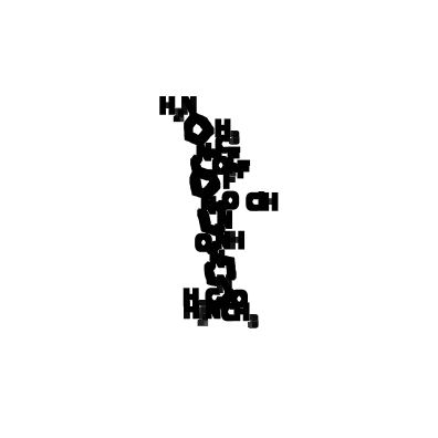 CCN(Cc1ccc(-n2ccc(NC(=O)N3CCN(C(=O)C(C)(C)N)CC3)nc2=O)cc1OC(F)(F)F)[C@H]1CC[C@H](N)CC1.Cl